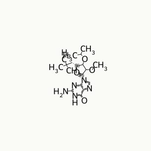 COC1C(OC(C)C)[C@@H](CC(C)(C)C)O[C@H]1n1cnc2c(=O)[nH]c(N)nc21